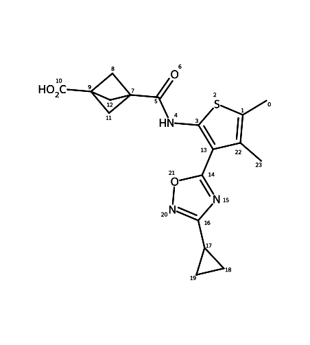 Cc1sc(NC(=O)C23CC(C(=O)O)(C2)C3)c(-c2nc(C3CC3)no2)c1C